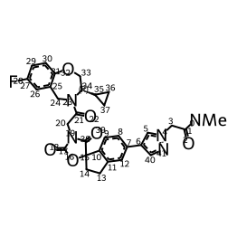 CNC(=O)Cn1cc(-c2ccc3c(c2)CCC32OC(=O)N(CC(=O)N3Cc4cc(F)ccc4OC[C@H]3C3CC3)C2=O)cn1